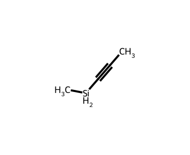 CC#C[SiH2]C